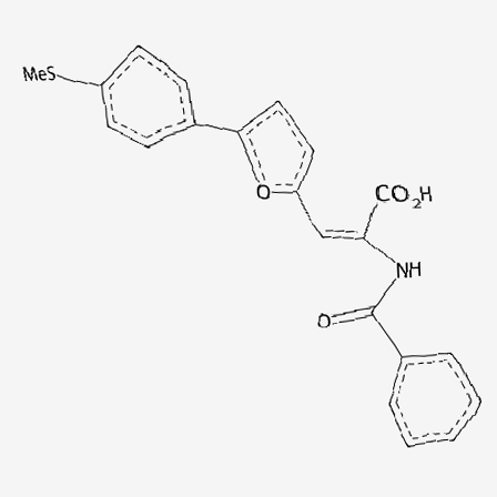 CSc1ccc(-c2ccc(/C=C(/NC(=O)c3ccccc3)C(=O)O)o2)cc1